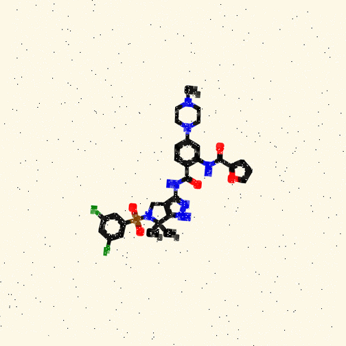 CN1CCN(c2ccc(C(=O)Nc3n[nH]c4c3CN(S(=O)(=O)c3cc(F)cc(F)c3)C4(C)C)c(NC(=O)c3ccco3)c2)CC1